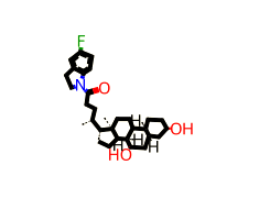 C[C@H](CCC(=O)N1CCc2cc(F)ccc21)[C@H]1CC[C@H]2[C@@H]3[C@H](O)C[C@@H]4C[C@H](O)CC[C@]4(C)[C@H]3CC[C@]12C